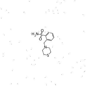 NS(=O)(=O)c1ccccc1CN1CCSCC1